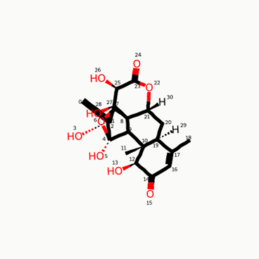 C=C1[C@@H](O)[C@]2(O)OC[C@]34C2[C@@]2(C)[C@H](O)C(=O)C=C(C)[C@@H]2C[C@H]3OC(=O)[C@H](O)[C@@]14O